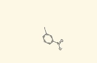 O=[N+]([O-])c1c[c]cc(I)c1